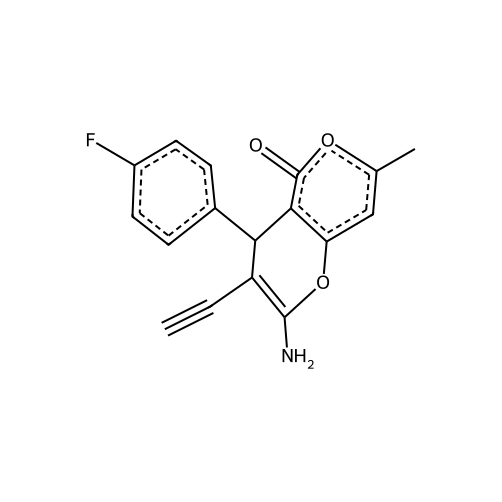 C#CC1=C(N)Oc2cc(C)oc(=O)c2C1c1ccc(F)cc1